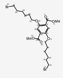 COC(=O)c1cc(OCCCCCCBr)c(C(=O)OC)cc1OCCCCCCBr